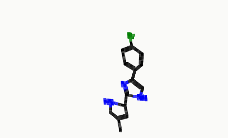 CC1=CC(c2nc(-c3ccc(Br)cc3)c[nH]2)NC1